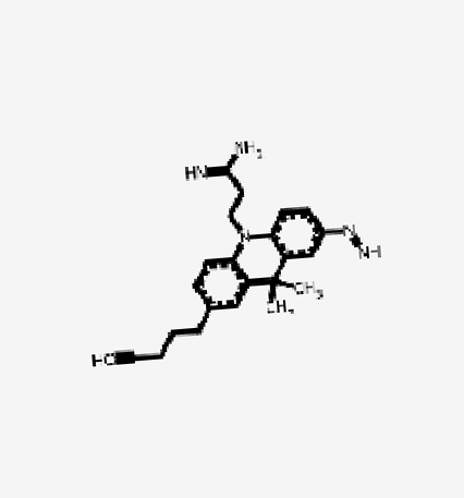 C#CCCCc1ccc2c(c1)C(C)(C)c1cc(N=N)ccc1N2CCC(=N)N